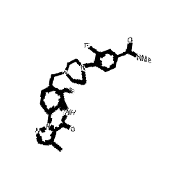 CNC(=O)c1ccc(N2CCN(Cc3ccc4c([nH]c(=O)c5c(C)cnn54)c3F)CC2)c(F)c1